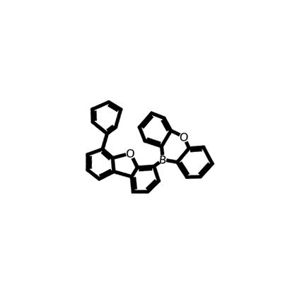 c1ccc(-c2cccc3c2oc2c(B4c5ccccc5Oc5ccccc54)cccc23)cc1